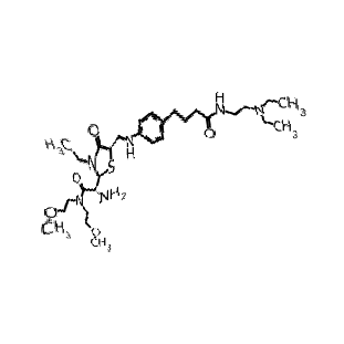 CCN(CC)CCNC(=O)CCCc1ccc(NC[C@H]2SC([C@H](N)C(=O)N(CCOC)CCOC)N(CC)C2=O)cc1